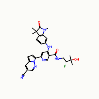 CN1C(=O)C(C)(C)c2ccc(Nc3cc(-c4ccc5cc(C#N)cnn45)ncc3C(=O)NC[C@@H](F)C(C)(C)O)cc21